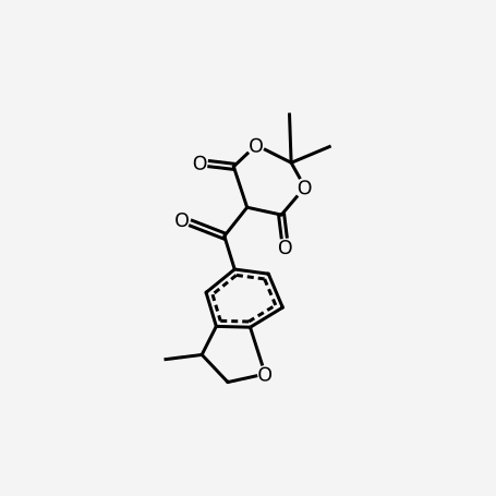 CC1COc2ccc(C(=O)C3C(=O)OC(C)(C)OC3=O)cc21